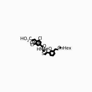 CCCCCCOCCc1cccc(-c2csc(NC(=O)c3cc(Cl)c(/C=C(\OC)C(=O)O)c(Cl)c3)n2)c1OC